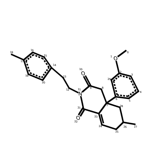 COc1cccc(C23CC(=O)N(CCc4ccc(C)cc4)C(=O)C2=CCC(C)C3)c1